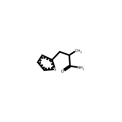 CC(Cc1cccs1)C(N)=O